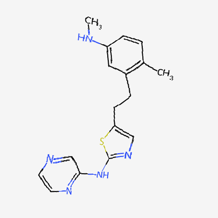 CNc1ccc(C)c(CCc2cnc(Nc3cnccn3)s2)c1